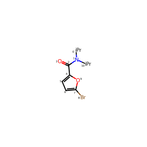 CC(C)N(C(=O)c1ccc(Br)o1)C(C)C